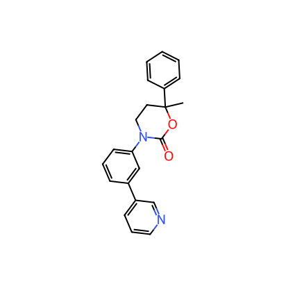 CC1(c2ccccc2)CCN(c2cccc(-c3cccnc3)c2)C(=O)O1